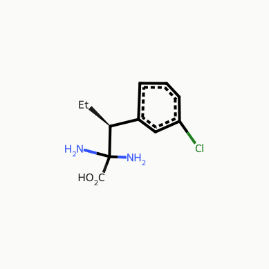 CC[C@@H](c1cccc(Cl)c1)C(N)(N)C(=O)O